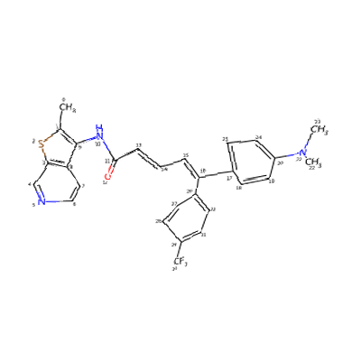 Cc1sc2cnccc2c1NC(=O)C=CC=C(c1ccc(N(C)C)cc1)c1ccc(C(F)(F)F)cc1